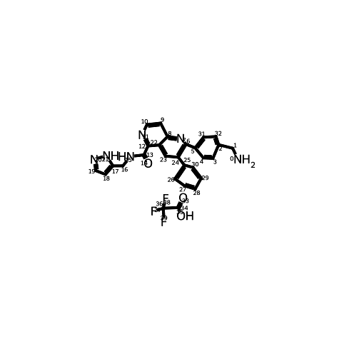 NCc1ccc(-c2nc3ccnc(C(=O)NCc4ccn[nH]4)c3cc2-c2ccccc2)cc1.O=C(O)C(F)(F)F